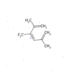 C=C(C)/C=C(\C(=C)C)C(F)(F)F